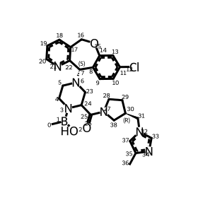 CB(O)N1CCN([C@H]2c3ccc(Cl)cc3OCc3cccnc32)CC1C(=O)N1CC[C@@H](Cn2cnc(C)c2)C1